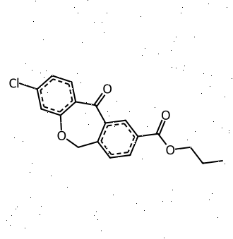 CCCOC(=O)c1ccc2c(c1)C(=O)c1ccc(Cl)cc1OC2